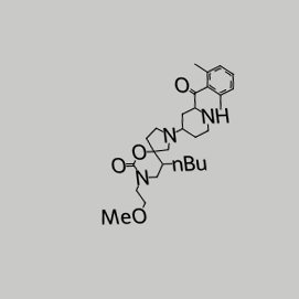 CCCCC1CN(CCOC)C(=O)OC12CCN(C1CCNC(C(=O)c3c(C)cccc3C)C1)C2